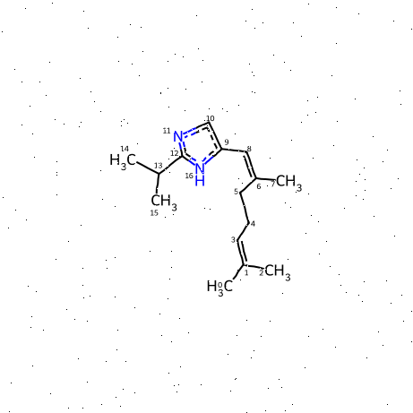 CC(C)=CCCC(C)=Cc1cnc(C(C)C)[nH]1